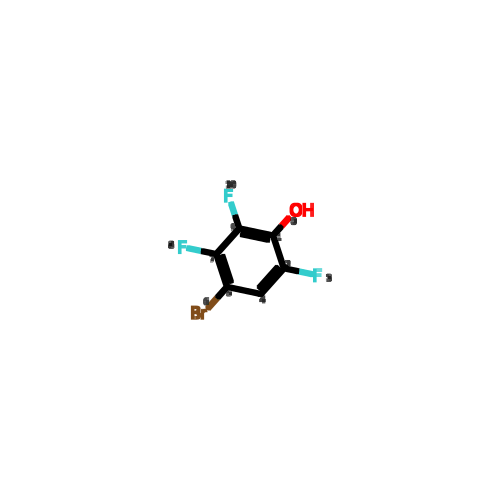 Oc1c(F)cc(Br)c(F)c1F